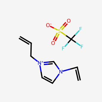 C=CC[n+]1ccn(C=C)c1.O=S(=O)([O-])C(F)(F)F